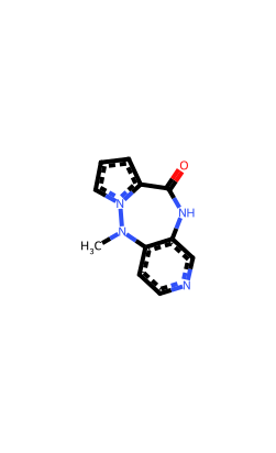 CN1c2ccncc2NC(=O)c2cccn21